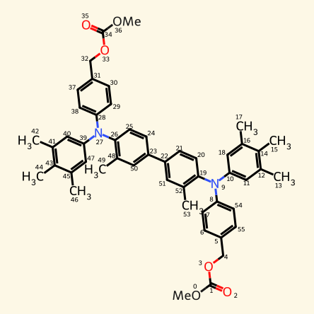 COC(=O)OCc1ccc(N(c2cc(C)c(C)c(C)c2)c2ccc(-c3ccc(N(c4ccc(COC(=O)OC)cc4)c4cc(C)c(C)c(C)c4)c(C)c3)cc2C)cc1